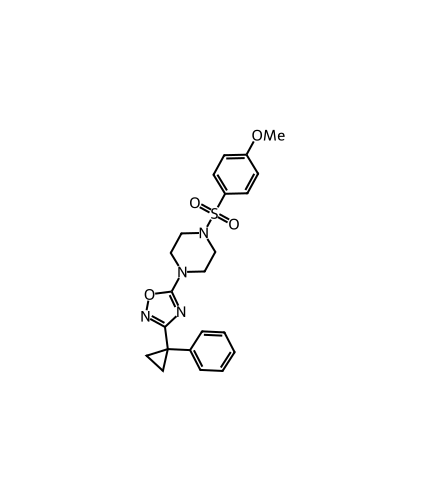 COc1ccc(S(=O)(=O)N2CCN(c3nc(C4(c5ccccc5)CC4)no3)CC2)cc1